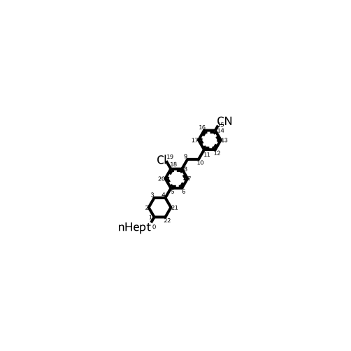 CCCCCCCC1CCC(c2ccc(CCc3ccc(C#N)cc3)c(Cl)c2)CC1